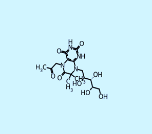 CC(=O)CN1C(=O)C(C)(C)N(C[C@H](O)[C@H](O)[C@H](O)CO)c2[nH]c(=O)[nH]c(=O)c21